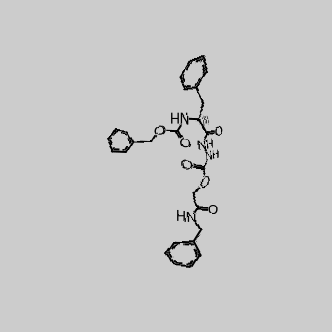 O=C(COC(=O)NNC(=O)[C@H](Cc1ccccc1)NC(=O)OCc1ccccc1)NCc1ccccc1